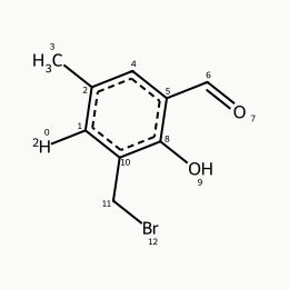 [2H]c1c(C)cc(C=O)c(O)c1CBr